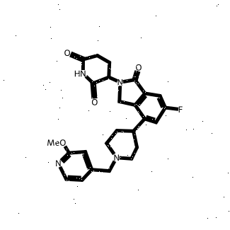 COc1cc(CN2CCC(c3cc(F)cc4c3CN(C3CCC(=O)NC3=O)C4=O)CC2)ccn1